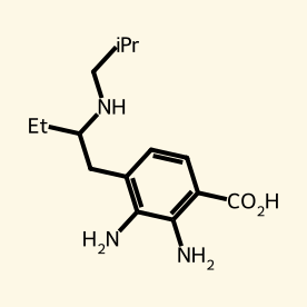 CCC(Cc1ccc(C(=O)O)c(N)c1N)NCC(C)C